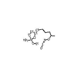 CC(CCCCl)ON=C=O.CCC[Si](OCC)(OCC)OCC